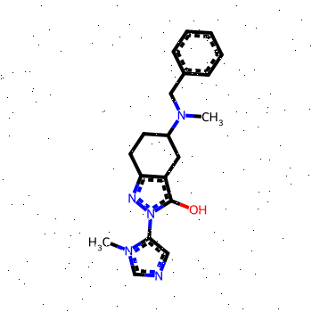 CN(Cc1ccccc1)C1CCc2nn(-c3cncn3C)c(O)c2C1